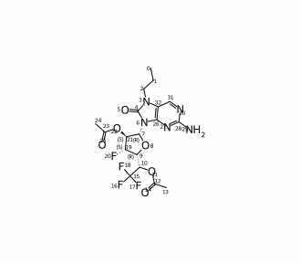 CCCn1c(=O)n([C@@H]2O[C@H](C(OC(C)=O)C(F)(F)F)[C@H](F)[C@H]2OC(C)=O)c2nc(N)ncc21